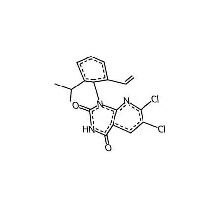 C=Cc1cccc(C(C)C)c1-n1c(=O)[nH]c(=O)c2cc(Cl)c(Cl)nc21